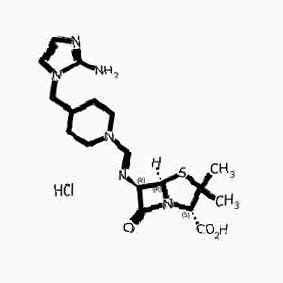 CC1(C)S[C@@H]2[C@H](N=CN3CCC(Cn4ccnc4N)CC3)C(=O)N2[C@H]1C(=O)O.Cl